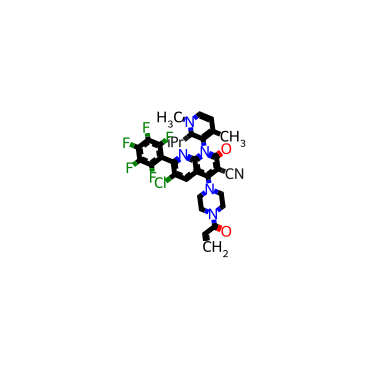 C=CC(=O)N1CCN(c2c(C#N)c(=O)n(C3=C(C)C=CN(C)C3C(C)C)c3nc(-c4c(F)c(F)c(F)c(F)c4F)c(Cl)cc23)CC1